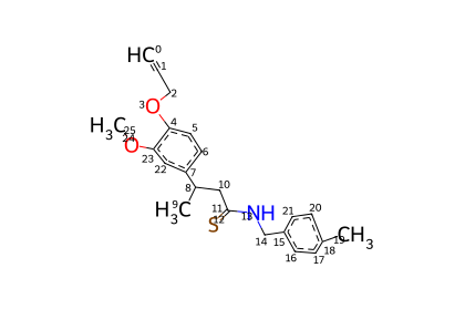 C#CCOc1ccc(C(C)CC(=S)NCc2ccc(C)cc2)cc1OC